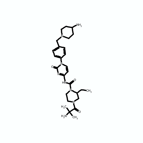 CCC1CN(C(=O)C(C)(C)N)CCN1C(=O)Nc1ccn(-c2ccc(CN3CCC(N)CC3)cc2)c(=O)n1